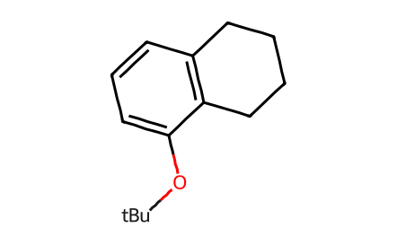 CC(C)(C)Oc1cccc2c1CCCC2